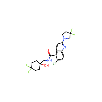 O=C(NCC1(O)CCC(F)(F)CC1)c1c(Cl)ccc2nc(N3CCC(F)(F)C3)ccc12